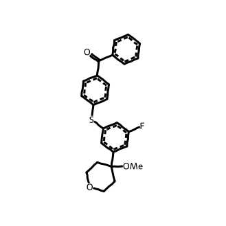 COC1(c2cc(F)cc(Sc3ccc(C(=O)c4ccccc4)cc3)c2)CCOCC1